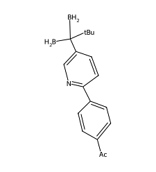 BC(B)(c1ccc(-c2ccc(C(C)=O)cc2)nc1)C(C)(C)C